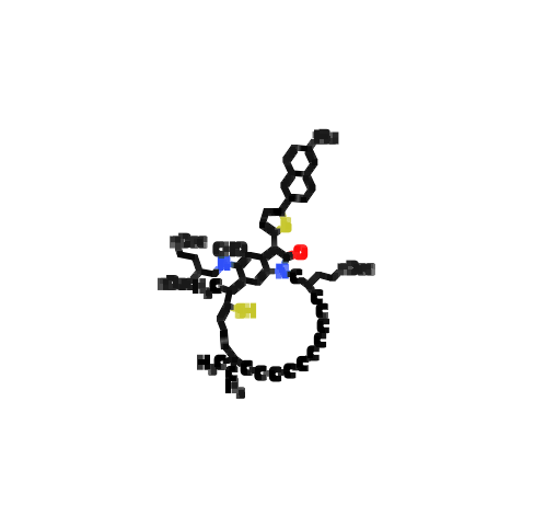 CCCCCCCCCCCCC(CCCCCCCCCC)CN(C=O)c1cc2c3c\c1=C(C)/C(S)=C/C=C/C(C)(C)CCCCCCCCCCC(CCCCCCCCCCCC)CN3C(=O)C=2c1ccc(-c2ccc3cc(C(C)(C)C)ccc3c2)s1